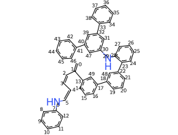 C=C(/C=C\C=C/Nc1ccccc1)c1cccc(-c2cccc(-c3ccccc3Nc3cc(-c4ccccc4)cc(-c4ccccc4)c3)c2)c1